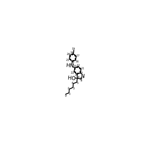 CCCCCCC1(O)C=Nc2ccc(Nc3ccc(C)cc3)cc21